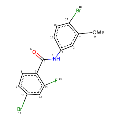 COc1cc(NC(=O)c2ccc(Br)cc2F)ccc1Br